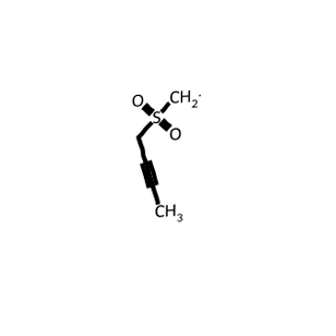 [CH2]S(=O)(=O)CC#CC